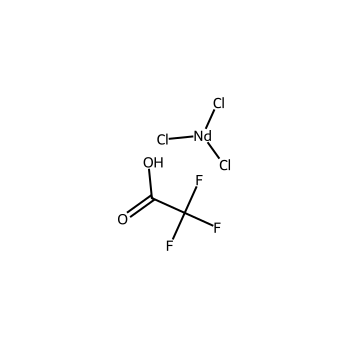 O=C(O)C(F)(F)F.[Cl][Nd]([Cl])[Cl]